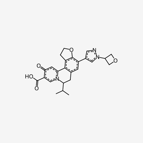 CC(C)C1Cc2cc(-c3cnn(C4COC4)c3)c3c(c2-c2cc(=O)c(C(=O)O)cn21)CCO3